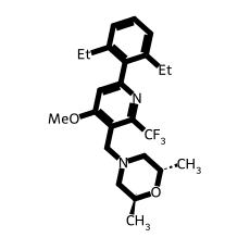 CCc1cccc(CC)c1-c1cc(OC)c(CN2C[C@H](C)O[C@@H](C)C2)c(C(F)(F)F)n1